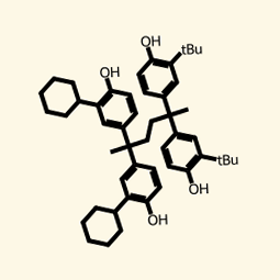 CC(C)(C)c1cc(C(C)(CCC(C)(c2ccc(O)c(C3CCCCC3)c2)c2ccc(O)c(C3CCCCC3)c2)c2ccc(O)c(C(C)(C)C)c2)ccc1O